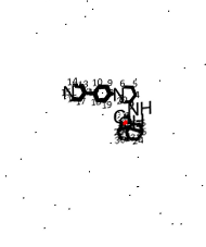 O=C(N[C@H]1CCCN(c2ccc(-c3ccncc3)cc2)C1)C12CC3CC(C1)C(O)C(C3)C2